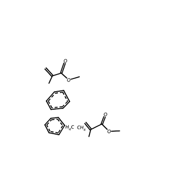 C.C.C=C(C)C(=O)OC.C=C(C)C(=O)OC.c1ccccc1.c1ccccc1